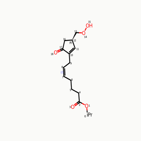 CC(C)OC(=O)CCC/C=C\CC1=C[C@H](COO)CC1=O